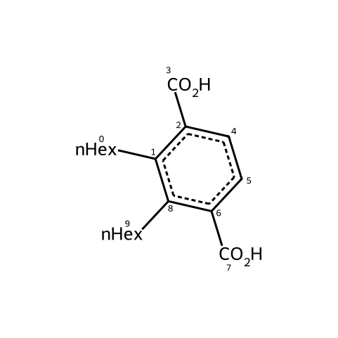 CCCCCCc1c(C(=O)O)ccc(C(=O)O)c1CCCCCC